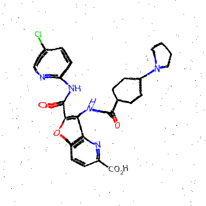 O=C(O)c1ccc2oc(C(=O)Nc3ccc(Cl)cn3)c(NC(=O)C3CCC(N4CCCC4)CC3)c2n1